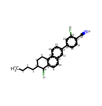 CCCCC1CCc2c(ccc3cc(-c4ccc(C#N)c(F)c4)ccc23)C1F